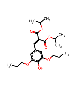 CCCOc1cc(C=C(C(=O)OC(C)C)C(=O)OC(C)C)cc(OCCC)c1O